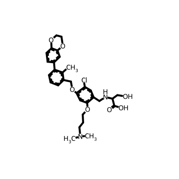 Cc1c(COc2cc(OCCCN(C)C)c(CNC(CO)C(=O)O)cc2Cl)cccc1-c1ccc2c(c1)OCCO2